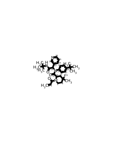 C=CC(=O)N1CCC(C)(F)CC1C(=O)N(c1ccc(C(C)(C)C)cc1)C(C(=O)NC(C)(C)C)c1cccnc1